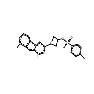 Cc1ccc(S(=O)(=O)OC2CN(c3cc4c5cccc(C)c5cc-4[nH]n3)C2)cc1